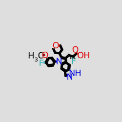 COc1cc(-n2c(C3CCOCC3)c(C[C@H](F)C(=O)O)c3cc4[nH]ncc4cc32)ccc1F